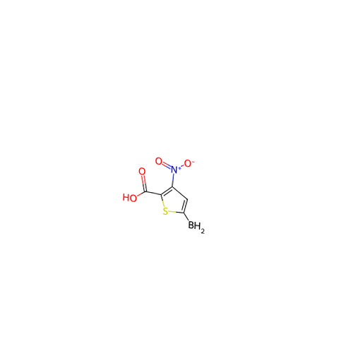 Bc1cc([N+](=O)[O-])c(C(=O)O)s1